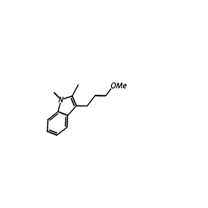 COCCCc1c(C)n(C)c2ccccc12